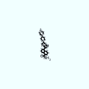 CN1CCN(C2CCN(c3cnc4c(-c5cccc6c(C(N)=O)cccc56)cnn4c3)CC2)CC1